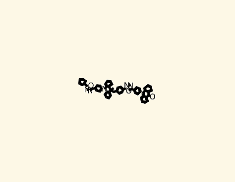 CC1(Cc2ccc(-c3nnc(-c4ccc(-n5c6ccccc6c(=O)c6ccccc65)cc4)o3)cc2)c2ccccc2N(c2ccc(-c3nnc(-c4ccccc4)o3)cc2)c2ccccc21